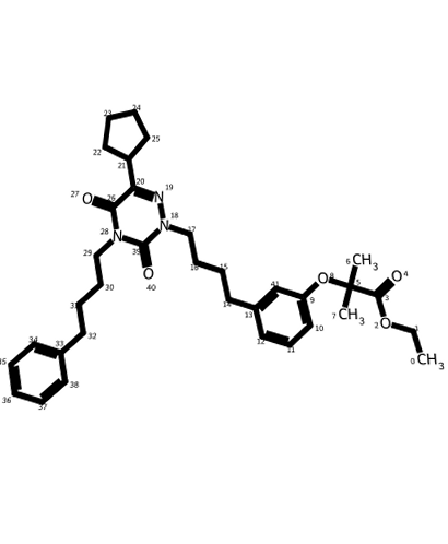 CCOC(=O)C(C)(C)Oc1cccc(CCCCn2nc(C3CCCC3)c(=O)n(CCCCc3ccccc3)c2=O)c1